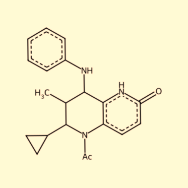 CC(=O)N1c2ccc(=O)[nH]c2C(Nc2ccccc2)C(C)C1C1CC1